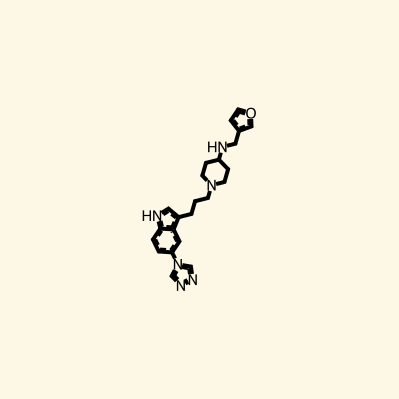 c1cc(CNC2CCN(CCCc3c[nH]c4ccc(-n5cnnc5)cc34)CC2)co1